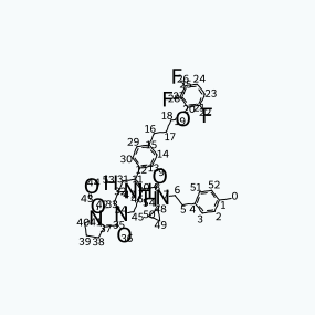 Cc1ccc(CCN(C(=O)C2=C(c3ccc(CCCOc4c(F)ccc(F)c4F)cc3)C[C@H]3CN(C(=O)C4CCCN4OC=O)C[C@H]2N3)C2CC2)cc1